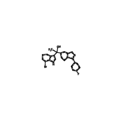 OC(c1ccc2c(cnn2-c2ccc(F)cc2)c1)(c1c[nH]c2c(Br)cccc12)C(F)(F)F